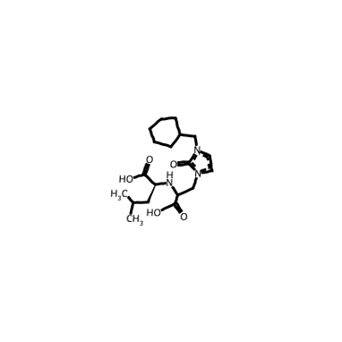 CC(C)C[C@H](NC(Cn1ccn(CC2CCCCC2)c1=O)C(=O)O)C(=O)O